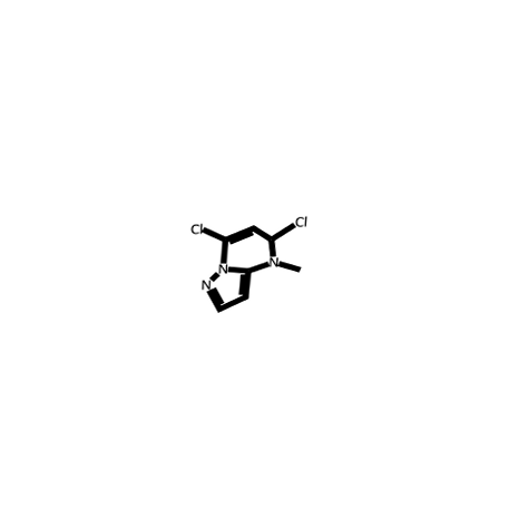 CN1c2ccnn2C(Cl)=CC1Cl